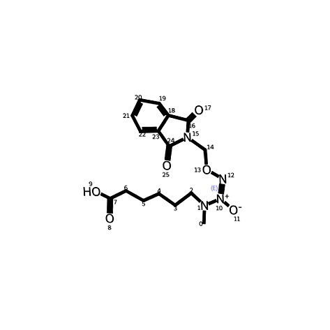 CN(CCCCCC(=O)O)/[N+]([O-])=N\OCN1C(=O)c2ccccc2C1=O